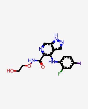 O=C(NOCCO)c1ncc2[nH]ncc2c1Nc1ccc(I)cc1F